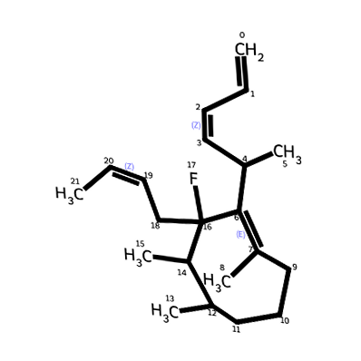 C=C/C=C\C(C)/C1=C(/C)CCCC(C)C(C)C1(F)C/C=C\C